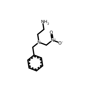 NCCN(Cc1ccccc1)C[N+](=O)[O-]